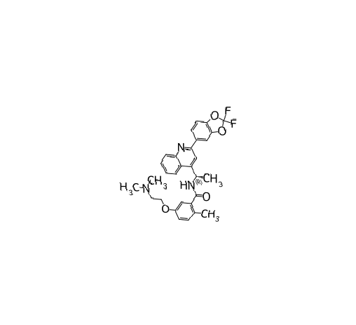 Cc1ccc(OCCN(C)C)cc1C(=O)N[C@H](C)c1cc(-c2ccc3c(c2)OC(F)(F)O3)nc2ccccc12